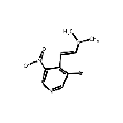 CN(C)C=Cc1c(Br)cncc1[N+](=O)[O-]